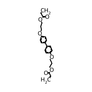 C=CC(=O)OCCCOc1ccc(-c2ccc(OCCCOC(=O)C=C)cc2)cc1